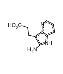 Nc1[nH]c2cccnc2c1CCC(=O)O